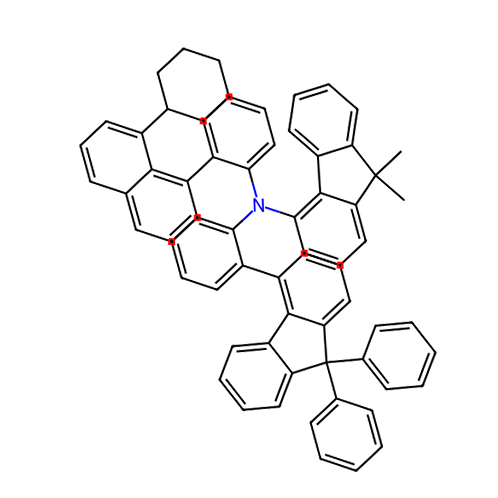 CC1(C)c2ccccc2-c2c(N(c3ccccc3-c3cccc4c3-c3ccccc3C4(c3ccccc3)c3ccccc3)c3ccccc3-c3cccc4cccc(C5CCCCC5)c34)cccc21